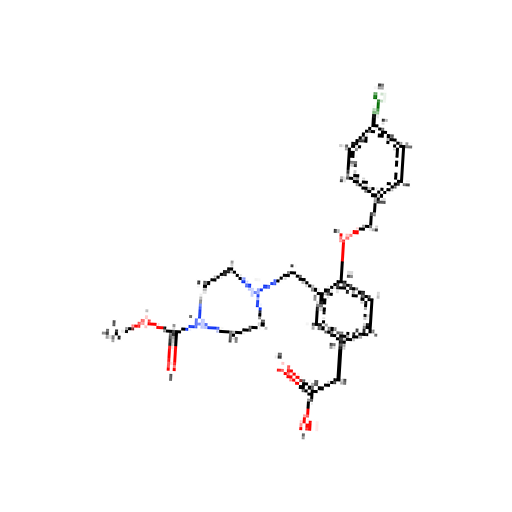 COC(=O)N1CCN(Cc2cc(CC(=O)O)ccc2OCc2ccc(Cl)cc2)CC1